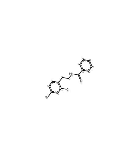 O=C(NCCc1ccc(Br)cc1Cl)c1ccccc1